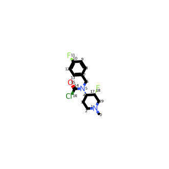 CN1CC[C@H](N(Cc2ccc(F)cc2)C(=O)Cl)[C@H](F)C1